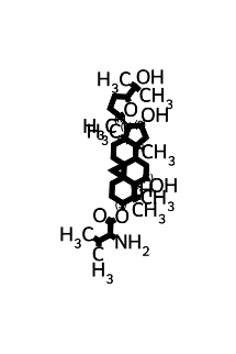 CC(C)C(N)C(=O)O[C@H]1CCC23CC24CC[C@]2(C)[C@@H]([C@@]5(C)CCC(C(C)(C)O)O5)[C@@H](O)C[C@@]2(C)C4C[C@H](O)[C@H]3C1(C)C